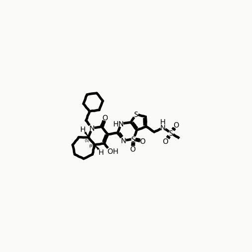 CS(=O)(=O)NCc1csc2c1S(=O)(=O)N=C(C1=C(O)[C@@H]3CCCCC[C@@H]3N(CC3CCCCC3)C1=O)N2